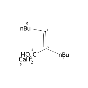 CCCCC=C(CCCC)C(=O)O.[CaH2]